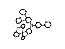 c1ccc(-c2ccc(N(c3ccc(-c4ccccc4)c(-c4ccccc4)c3)c3ccc4c(c3)C3(c5ccccc5Oc5ccccc53)c3ccccc3-4)cc2)cc1